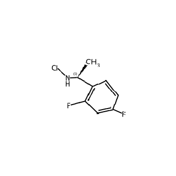 C[C@H](NCl)c1ccc(F)cc1F